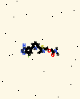 Cc1nc(COCC(=O)N(C)C)sc1-c1cccc(-c2cc(F)c3nn[nH]c3c2)n1